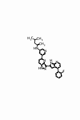 C=C(CC(C)C)Nc1cncc(-c2ccc3[nH]nc(-c4cc5c(-c6ccccc6F)ccnc5[nH]4)c3n2)c1